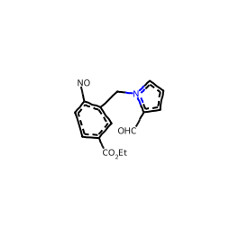 CCOC(=O)c1ccc(N=O)c(Cn2cccc2C=O)c1